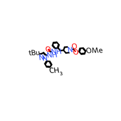 COc1ccc(OC(=O)N2CCC(Cc3ccccc3NC(=O)Nc3cc(C(C)(C)C)nn3-c3ccc(C)cc3)CC2)cc1